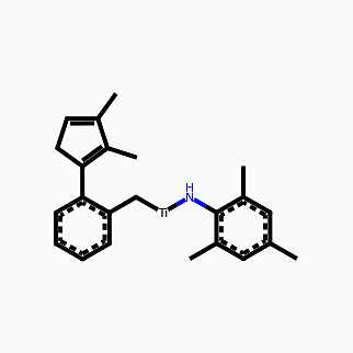 CC1=CCC(c2ccccc2[CH2][Ti][NH]c2c(C)cc(C)cc2C)=C1C